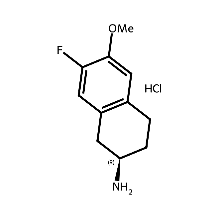 COc1cc2c(cc1F)C[C@H](N)CC2.Cl